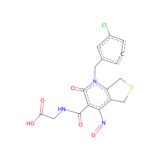 O=Nc1c2c(n(Cc3cccc(Cl)c3)c(=O)c1C(=O)NCC(=O)O)CSC2